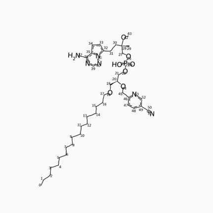 CCCCCCCCCCCCCCCCCCOC[C@@H](COP(=O)(O)OC[C@](C)(CCc1ccc2c(N)ncnn12)OC)OCc1ccc(C#N)cn1